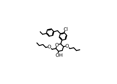 CCCCOCC1OC(c2ccc(Cl)c(Cc3ccc(CC)cc3)c2)C(OCCCC)CC1O